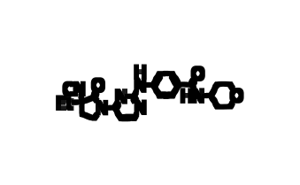 CC[C@]1(C#N)CCN(c2ccnc(Nc3ccc(C(=O)NC4CCOCC4)cc3)n2)C1=O